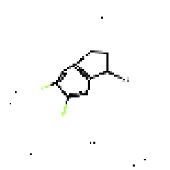 CCC1CCc2cc(F)c(F)cc21